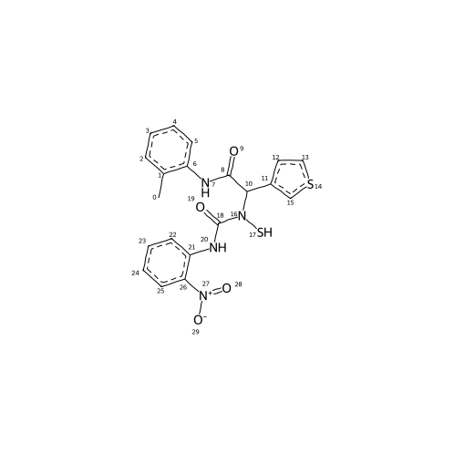 Cc1ccccc1NC(=O)C(c1ccsc1)N(S)C(=O)Nc1ccccc1[N+](=O)[O-]